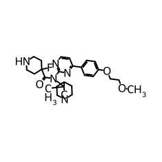 COCCOc1ccc(-c2ccnc(N(C(=O)C3(F)CCNCC3)C3(C)CN4CCC3CC4)n2)cc1